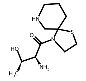 C[C@@H](O)[C@H](N)C(=O)N1CCSC12CCCNC2